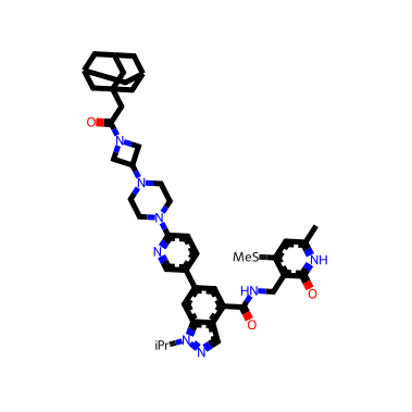 CSc1cc(C)[nH]c(=O)c1CNC(=O)c1cc(-c2ccc(N3CCN(C4CN(C(=O)CC56CC7CC(CC(C7)C5)C6)C4)CC3)nc2)cc2c1cnn2C(C)C